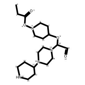 CCC(=O)ON1CCC(OC(C=O)N2CCN(C3CCNCC3)CC2)CC1